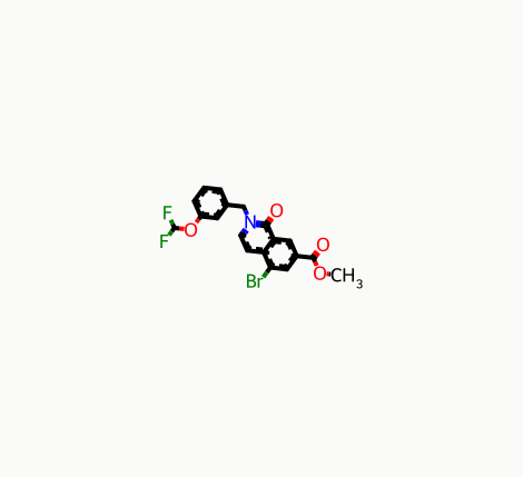 COC(=O)c1cc(Br)c2ccn(Cc3cccc(OC(F)F)c3)c(=O)c2c1